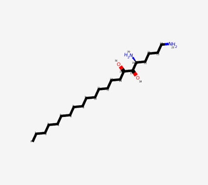 CCCCCCCCCCCCCCCC(=O)C(=O)[C@@H](N)CCCCN